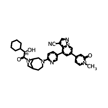 Cn1ccc(-c2cc(-c3ccc(N4CCC5CC(C4)N(C(=O)[C@H](O)C4CCCCC4)C5)nc3)c3c(C#N)cnn3c2)cc1=O